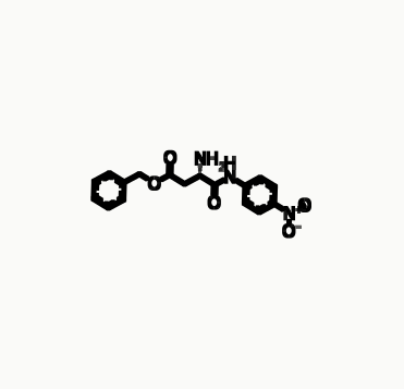 N[C@@H](CC(=O)OCc1ccccc1)C(=O)Nc1ccc([N+](=O)[O-])cc1